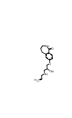 C=CCNCC(O)COc1ccc2c(c1)CCCNC2=O